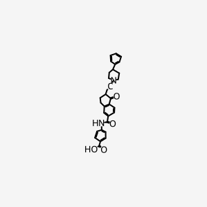 O=C(O)c1ccc(NC(=O)c2ccc3c(c2)CCC(CCN2CCC(c4ccccc4)CC2)C3=O)cc1